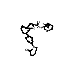 O=C(N[C@H]1CN2CCC1CC2)c1cc2cccc(-c3ccc(N4CCCC4=O)cc3)c2o1